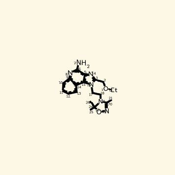 CCOCc1nc2c(N)nc3ccccc3c2n1CCN1C(C)=NOC1(C)C